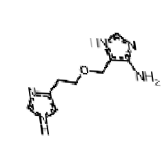 Nc1nc[nH]c1COCCc1c[nH]cn1